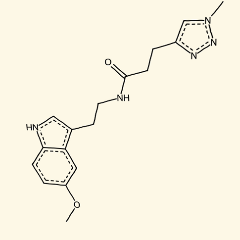 COc1ccc2[nH]cc(CCNC(=O)CCc3cn(C)nn3)c2c1